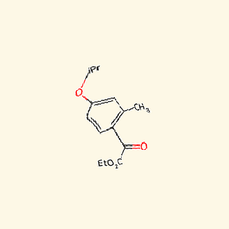 CCOC(=O)C(=O)c1ccc(OC(C)C)cc1C